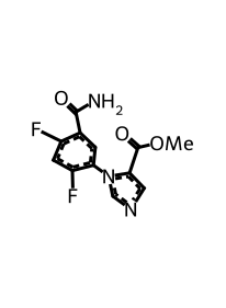 COC(=O)c1cncn1-c1cc(C(N)=O)c(F)cc1F